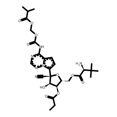 CCC(=O)O[C@H]1[C@@H](O)[C@](C#N)(c2ccc3c(NC(=O)OCOC(=O)C(C)C)ncnn23)O[C@@H]1COC(=O)[C@@H](N)C(C)(C)C